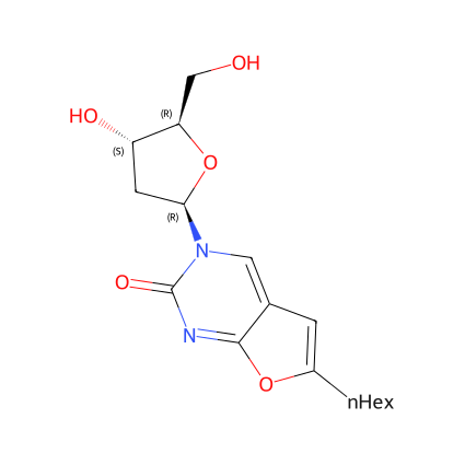 CCCCCCc1cc2cn([C@H]3C[C@H](O)[C@@H](CO)O3)c(=O)nc2o1